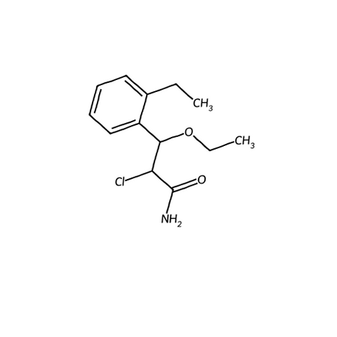 CCOC(c1ccccc1CC)C(Cl)C(N)=O